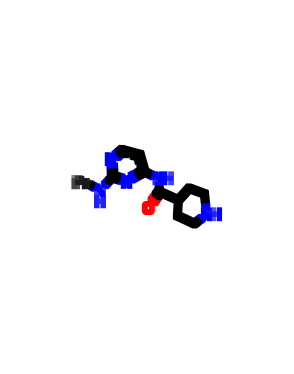 CC(C)Nc1nccc(NC(=O)C2CCNCC2)n1